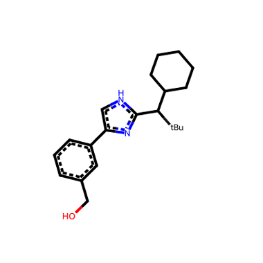 CC(C)(C)C(c1nc(-c2cccc(CO)c2)c[nH]1)C1CCCCC1